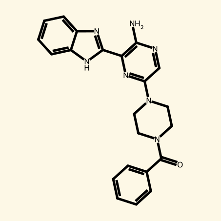 Nc1ncc(N2CCN(C(=O)c3ccccc3)CC2)nc1-c1nc2ccccc2[nH]1